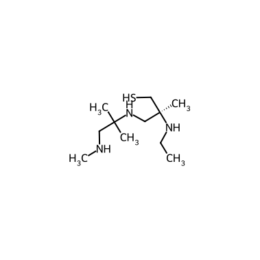 CCN[C@](C)(CS)CNC(C)(C)CNC